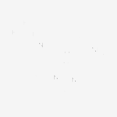 CCC(OC(=O)CN)c1nc2c(C(F)(F)F)cccc2c(O)c1C(=O)Nc1nccs1